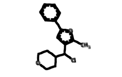 Cc1oc(-c2ccccc2)cc1C(Cl)C1CCOCC1